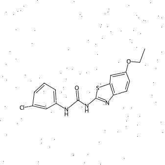 CCOc1ccc2nc(NC(=O)Nc3cccc(Cl)c3)sc2c1